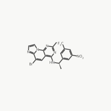 Cc1nc(N[C@H](C)c2cc([N+](=O)[O-])cc(C(F)(F)F)c2)c2cc(Br)c3nccn3c2n1